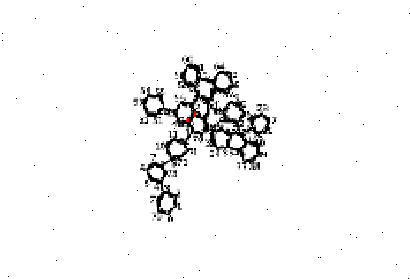 c1ccc(-c2cccc(-c3ccc(-c4ccc(N(c5cccc(C6(c7ccccc7)c7ccccc7-c7ccccc76)c5)c5c(-c6cccc(-c7ccccc7)c6)c6ccccc6c6ccccc56)cc4)cc3)c2)cc1